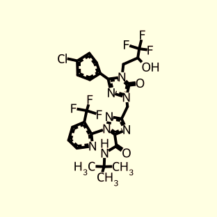 CC(C)(C)NC(=O)c1nc(Cn2nc(-c3ccc(Cl)cc3)n(CC(O)C(F)(F)F)c2=O)nn1-c1ncccc1C(F)(F)F